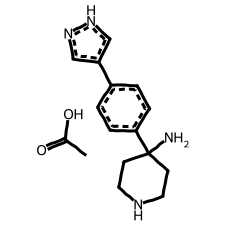 CC(=O)O.NC1(c2ccc(-c3cn[nH]c3)cc2)CCNCC1